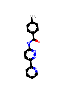 Cc1ccc(C(=O)Nc2ccc(-c3ccccn3)nn2)cc1